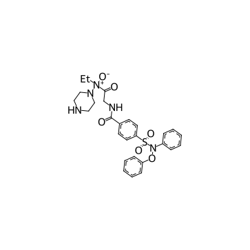 CC[N+]([O-])(C(=O)CNC(=O)c1ccc(S(=O)(=O)N(Oc2ccccc2)c2ccccc2)cc1)N1CCNCC1